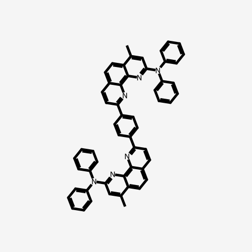 Cc1cc(N(c2ccccc2)c2ccccc2)nc2c1ccc1ccc(-c3ccc(-c4ccc5ccc6c(C)cc(N(c7ccccc7)c7ccccc7)nc6c5n4)cc3)nc12